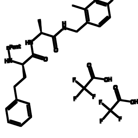 CCCCCN[C@H](CCc1ccccc1)C(=O)N[C@@H](C)C(=O)NCc1ccc(N)nc1C.O=C(O)C(F)(F)F.O=C(O)C(F)(F)F